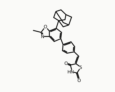 Cc1nc2cc(-c3ccc(C=C4SC(=O)NC4=O)cc3)cc(C34CC5CC(CC(C5)C3)C4)c2o1